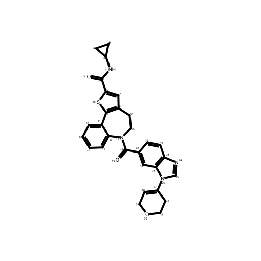 O=C(NC1CC1)c1cc2c(s1)-c1ccccc1N(C(=O)c1ccc3ncn(C4=CCOCC4)c3c1)CC2